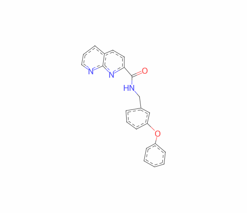 O=C(NCc1cccc(Oc2ccccc2)c1)c1ccc2cccnc2n1